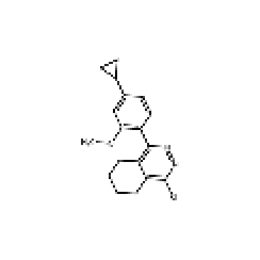 COc1cc(C2CC2)ccc1-c1nnc(Cl)c2c1CCCC2